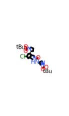 CC(C)(C)OC(=O)N1CCC[C@H]1c1cc(Cl)cc2c1CN(C(=O)Nc1cnn(C(=O)OC(C)(C)C)c1)C2